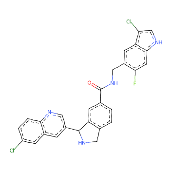 O=C(NCc1cc2c(Cl)c[nH]c2cc1F)c1ccc2c(c1)C(c1cnc3ccc(Cl)cc3c1)NC2